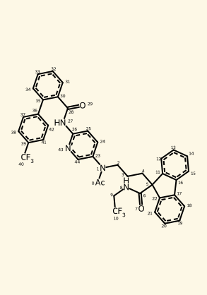 CC(=O)N(CCCC1(C(=O)NCC(F)(F)F)c2ccccc2-c2ccccc21)c1ccc(NC(=O)c2ccccc2-c2ccc(C(F)(F)F)cc2)nc1